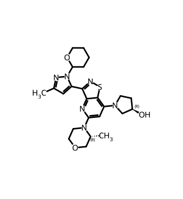 Cc1cc(-c2nsc3c(N4CC[C@@H](O)C4)cc(N4CCOC[C@H]4C)nc23)n(C2CCCCO2)n1